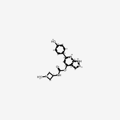 CN1CC(NC(=O)Oc2cc(-c3ccc(O)cc3)nc3[nH]ncc23)C1